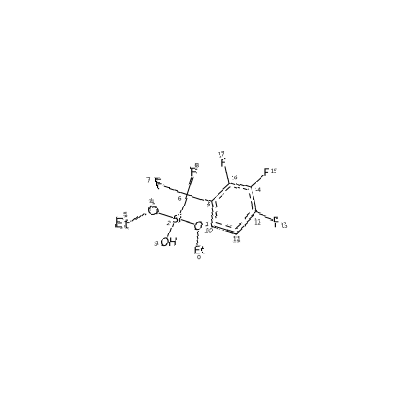 CCO[Si](O)(OCC)C(F)(F)c1ccc(F)c(F)c1F